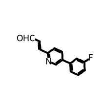 O=CC=Cc1ccc(-c2cccc(F)c2)cn1